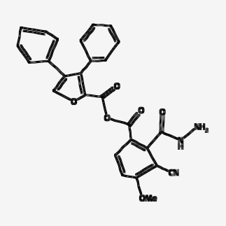 COc1ccc(C(=O)OC(=O)c2occ(-c3ccccc3)c2-c2ccccc2)c(C(=O)NN)c1C#N